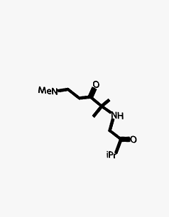 CNCCC(=O)C(C)(C)NCC(=O)C(C)C